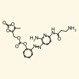 Cc1oc(=O)oc1COC(=O)Oc1ccccc1/N=N/c1ccc(NC(=O)CCN)nc1N